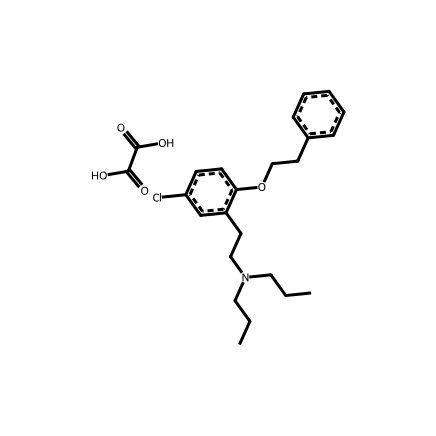 CCCN(CCC)CCc1cc(Cl)ccc1OCCc1ccccc1.O=C(O)C(=O)O